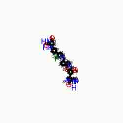 COc1cc(-c2cn(C)c(=O)c3[nH]ncc23)cc(OC)c1CN1CCc2c(cccc2CN2CCC(c3ccc(NC4CCC(=O)NC4=O)cc3)C(F)(F)C2)C1